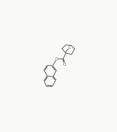 O=C(Oc1ccc2ccccc2c1)C12CCC(CC1)CC2